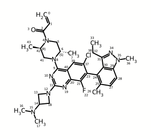 C=CC(=O)N1C[C@H](C)N(c2nc(N3CC(N(C)C)C3)nc3c(F)c(-c4c(C)ccc5c4c(CC)nn5C)c(Cl)cc23)C[C@H]1C